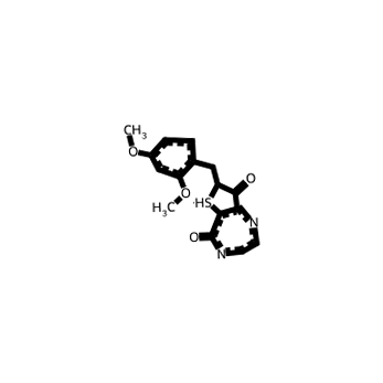 COc1ccc(CC2[SH]c3c(nccnc3=O)C2=O)c(OC)c1